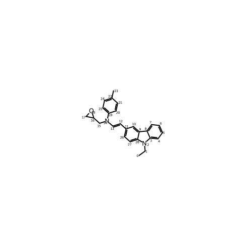 CCn1c2ccccc2c2cc(/C=C/N(CC3CO3)c3ccc(C)cc3)ccc21